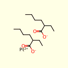 CCCCC(CC)C(=O)[O-].CCCCC(CC)C(=O)[O-].[Pt+2]